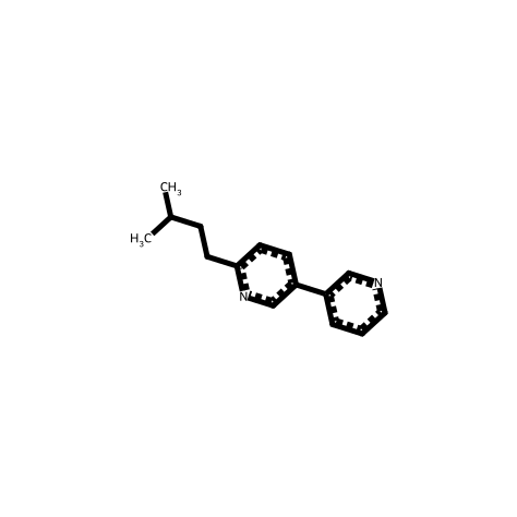 CC(C)CCc1ccc(-c2cccnc2)cn1